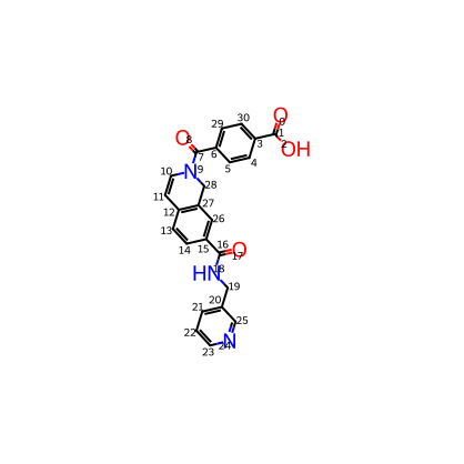 O=C(O)c1ccc(C(=O)N2C=Cc3ccc(C(=O)NCc4cccnc4)cc3C2)cc1